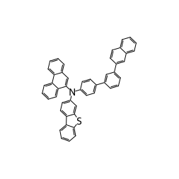 c1cc(-c2ccc(N(c3ccc4c(c3)sc3ccccc34)c3cc4ccccc4c4ccccc34)cc2)cc(-c2ccc3ccccc3c2)c1